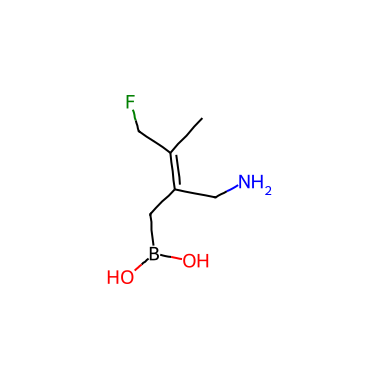 CC(CF)=C(CN)CB(O)O